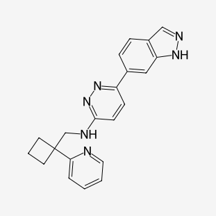 c1ccc(C2(CNc3ccc(-c4ccc5cn[nH]c5c4)nn3)CCC2)nc1